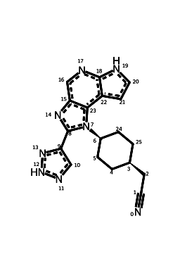 N#CC[C@H]1CC[C@@H](n2c(-c3cn[nH]n3)nc3cnc4[nH]ccc4c32)CC1